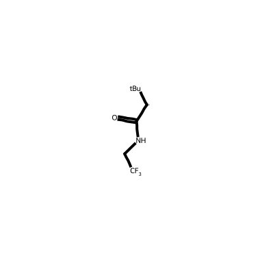 CC(C)(C)[CH]C(=O)NCC(F)(F)F